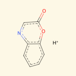 O=c1cnc2ccccc2o1.[H+]